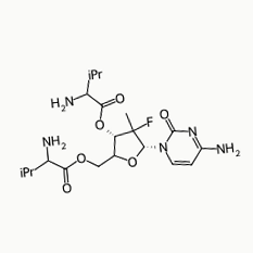 CC(C)C(N)C(=O)OCC1O[C@@H](n2ccc(N)nc2=O)C(C)(F)[C@H]1OC(=O)C(N)C(C)C